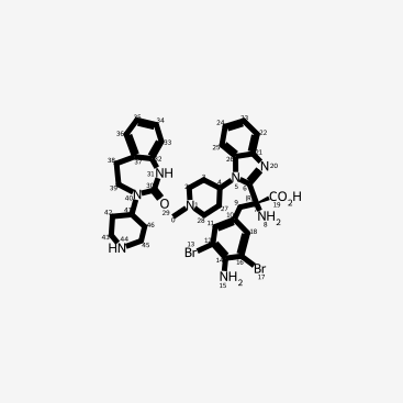 CN1CCC(n2c([C@](N)(Cc3cc(Br)c(N)c(Br)c3)C(=O)O)nc3ccccc32)CC1.O=C1Nc2ccccc2CCN1C1CCNCC1